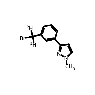 [2H]C([2H])(Br)c1cccc(-c2ccn(C)n2)c1